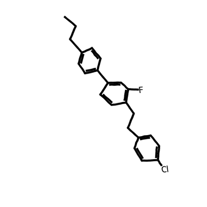 CCCc1ccc(-c2ccc(CCc3ccc(Cl)cc3)c(F)c2)cc1